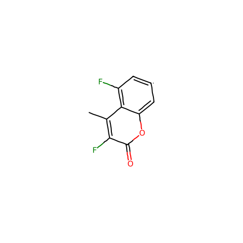 Cc1c(F)c(=O)oc2c[c]cc(F)c12